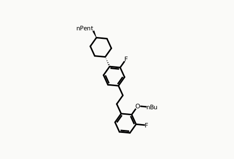 CCCCC[C@H]1CC[C@H](c2ccc(CCc3cccc(F)c3OCCCC)cc2F)CC1